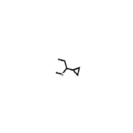 CCC(SC)C1CC1